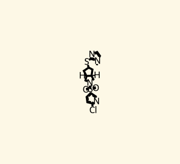 Cn1ccnc1SC1C[C@@H]2CN(S(=O)(=O)c3ccc(Cl)nc3)C[C@@H]2C1